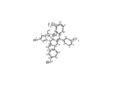 CC1C=C(C(C)(C)C)C=C1c1c(C(C)(C)C)c(=C(c2cccc(C(F)(F)F)c2)c2cccc(C(F)(F)F)c2)cc2c1=[C]c1cc(C(C)(C)C)ccc1-2